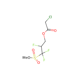 COS(=O)(=O)C(F)(F)C(F)COC(=O)CCl